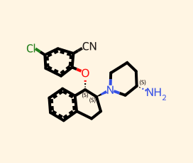 N#Cc1cc(Cl)ccc1O[C@H]1c2ccccc2CC[C@@H]1N1CCC[C@H](N)C1